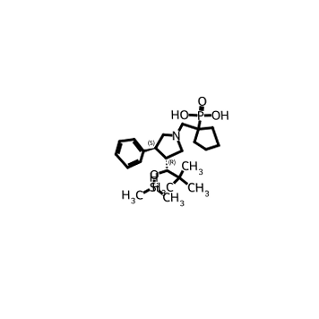 C[SiH](C)OC([C@H]1CN(CC2(P(=O)(O)O)CCCC2)C[C@@H]1c1ccccc1)C(C)(C)C